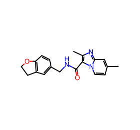 Cc1ccn2c(C(=O)NCc3ccc4c(c3)CCO4)c(C)nc2c1